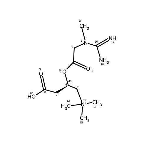 CN(CC(=O)O[C@H](CC(=O)O)C[N+](C)(C)C)C(=N)N